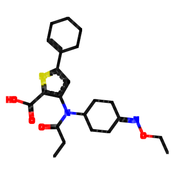 CCON=C1CCC(N(C(=O)CC)c2cc(C3=CCCCC3)sc2C(=O)O)CC1